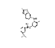 Cc1nc2ccc(Nc3cc(NC(=O)c4cccc(N(C)C)c4)ccc3C)cc2s1